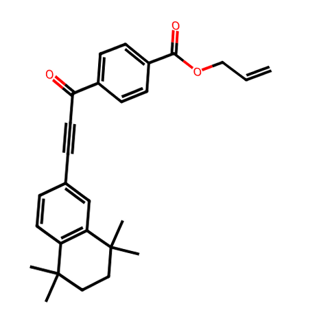 C=CCOC(=O)c1ccc(C(=O)C#Cc2ccc3c(c2)C(C)(C)CCC3(C)C)cc1